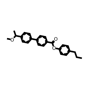 CCCc1ccc(OC(=O)c2ccc(-c3ccc(C(C)OC)cc3)cc2)cc1